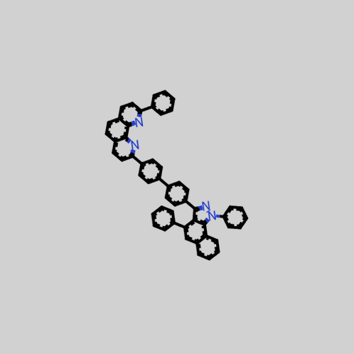 c1ccc(-c2ccc3ccc4ccc(-c5ccc(-c6ccc(-c7nn(-c8ccccc8)c8c7c(-c7ccccc7)cc7ccccc78)cc6)cc5)nc4c3n2)cc1